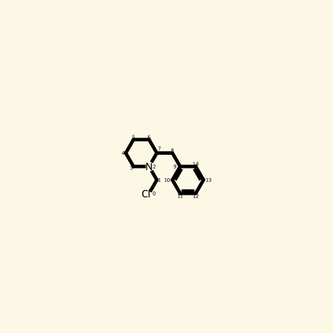 ClCN1CCCCC1Cc1ccccc1